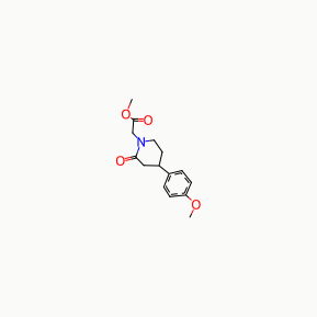 COC(=O)CN1CCC(c2ccc(OC)cc2)CC1=O